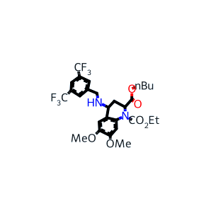 CCCCOC(=O)C1CC(NCc2cc(C(F)(F)F)cc(C(F)(F)F)c2)c2cc(OC)c(OC)cc2N1C(=O)OCC